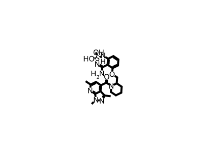 Cc1cc(C(=O)N2CCCCC2COc2cccc3c2C(N)=NS(O)(O)N3)c2c(C)nn(C)c2n1